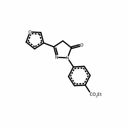 CCOC(=O)c1ccc(N2N=C(c3ccoc3)CC2=O)cc1